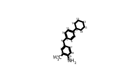 Cc1cc(Cc2ccc(C3CCCCC3)cc2)ccc1N